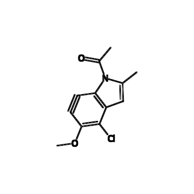 COc1c#cc2c(cc(C)n2C(C)=O)c1Cl